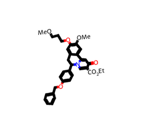 CCOC(=O)c1cn2c(cc1=O)-c1cc(OC)c(OCCCOC)cc1CC2c1ccc(OCc2ccccc2)cc1